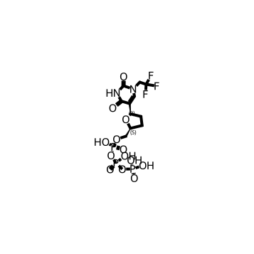 O=c1[nH]c(=O)n(CC(F)(F)F)cc1[C@H]1CC[C@@H](COP(=O)(O)OP(=O)(O)OP(=O)(O)O)O1